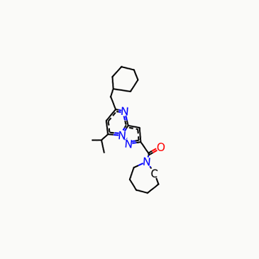 CC(C)c1cc(CC2CCCCC2)nc2cc(C(=O)N3CCCCCC3)nn12